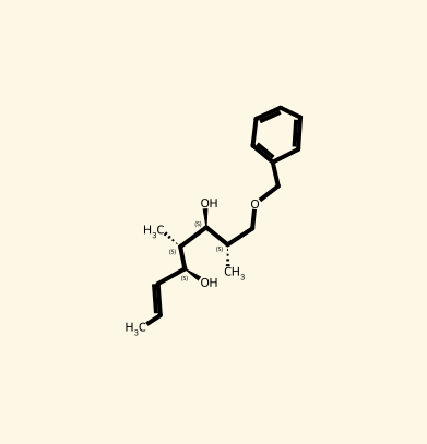 CC=C[C@H](O)[C@H](C)[C@@H](O)[C@@H](C)COCc1ccccc1